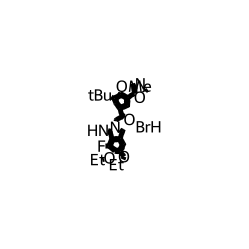 Br.CCOc1cc2c(c(F)c1OCC)C(=N)N(CC(=O)c1cc(-c3cnco3)c(OC)c(C(C)(C)C)c1)C2